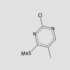 CSc1nc(Cl)ncc1C